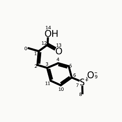 CC(=Cc1ccc([S+](C)[O-])cc1)C(=O)O